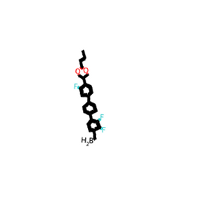 BCc1ccc(-c2ccc(-c3ccc(C4COC(/C=C/C)OC4)c(F)c3)cc2)c(F)c1F